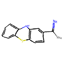 CSC(=N)c1ccc2c(c1)Nc1ccccc1S2